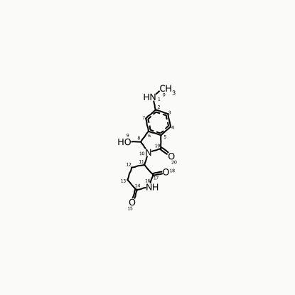 CNc1ccc2c(c1)C(O)N(C1CCC(=O)NC1=O)C2=O